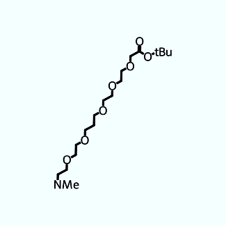 CNCCOCCOCCCOCCOCCOCC(=O)OC(C)(C)C